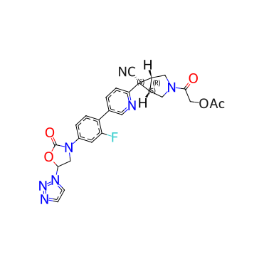 CC(=O)OCC(=O)N1C[C@@H]2[C@H](C1)[C@@]2(C#N)c1ccc(-c2ccc(N3CC(n4ccnn4)OC3=O)cc2F)cn1